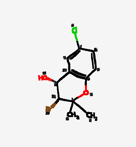 CC1(C)Oc2ccc(Cl)cc2[C@@H](O)[C@@H]1Br